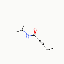 CCC#CC(=O)NC(C)C